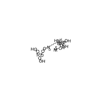 Cc1ncsc1-c1ccc([C@H](C)NC(=O)[C@@H]2C[C@@H](O)CN2C(=O)C(NC(=O)CCCCCCCN(CCOc2ccc(C(=O)c3c(-c4ccc(O)cc4)sc4cc(O)ccc34)cc2)C2CCC2)C(C)(C)C)cc1